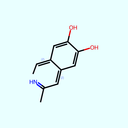 C/C=c1/cc(O)c(O)c/c1=C/C(C)=N